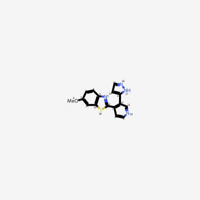 COc1ccc2nc(-c3ccncc3-c3ccn[nH]3)sc2c1